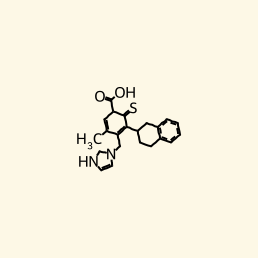 CC1=CC(C(=O)O)C(=S)C(C2CCc3ccccc3C2)=C1CN1C=CNC1